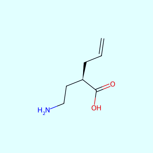 C=CC[C@H](CCN)C(=O)O